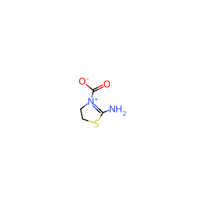 NC1=[N+](C(=O)[O-])CCS1